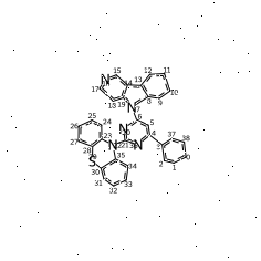 c1ccc(-c2cc(-n3c4ccccc4c4cnccc43)nc(N3c4ccccc4Sc4ccccc43)n2)cc1